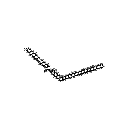 O=C1C=Cc2cc3cc4cc5cc6cc7cc8cc9c(cc8cc7cc6cc5cc4cc3cc2=C1)C(=O)c1cc2cc3cc4cc5ccc6cc7cc8cc%10cc%11cc%12cc%13cc%14cc%15cc%16cc%17cc%18cc%19ccccc%19cc%18cc%17cc%16cc%15cc%14cc%13cc%12cc%11cc%10cc8cc7cc6c5cc4cc3cc2cc1C=9